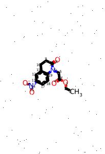 CCOC(=O)CN1C(=O)CCc2cc([N+](=O)[O-])ccc21